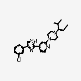 CCC(C(C)C)N1CCN(c2cc(-c3nc(-c4cccc(Cl)c4)c[nH]3)ccn2)CC1